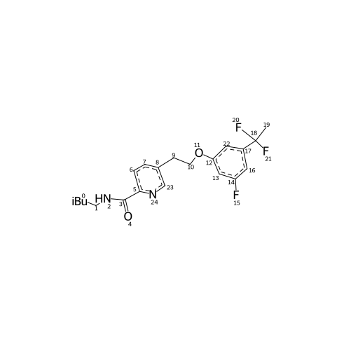 CCC(C)CNC(=O)c1ccc(CCOc2cc(F)cc(C(C)(F)F)c2)cn1